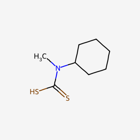 CN(C(=S)S)C1CCCCC1